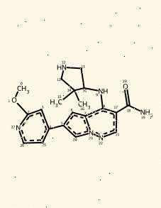 COc1cc(-c2cc3c(NC4CNCC4(C)C)c(C(N)=O)cnn3c2)ccn1